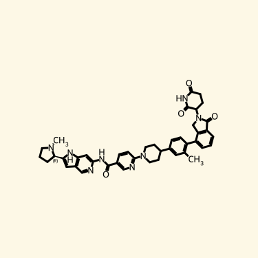 Cc1cc(C2CCN(c3ccc(C(=O)Nc4cc5[nH]c([C@H]6CCCN6C)cc5cn4)cn3)CC2)ccc1-c1cccc2c1CN(C1CCC(=O)NC1=O)C2=O